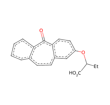 CCC(Oc1ccc2c(=O)c3ccccc3ccc2c1)C(=O)O